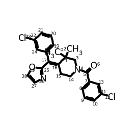 CC1(C)CN(C(=O)c2cccc(Cl)c2)CCC1=C(c1cccc(Cl)c1)c1ncco1